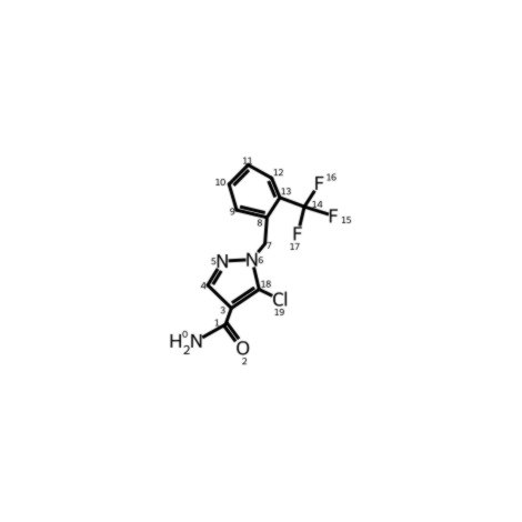 NC(=O)c1cnn(Cc2ccccc2C(F)(F)F)c1Cl